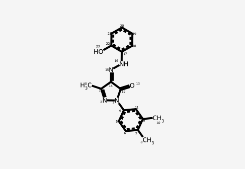 CC1=NN(c2ccc(C)c(C)c2)C(=O)/C1=N\Nc1ccccc1O